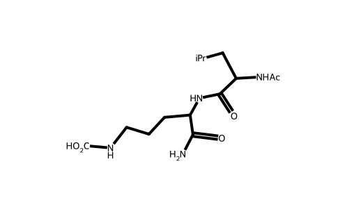 CC(=O)NC(CC(C)C)C(=O)NC(CCCNC(=O)O)C(N)=O